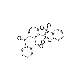 O=C1c2ccccc2C(=O)c2c1cccc2S(=O)(=O)S(=O)(=O)c1ccccc1